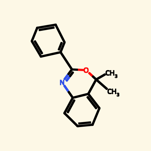 CC1(C)OC(c2ccccc2)=Nc2ccccc21